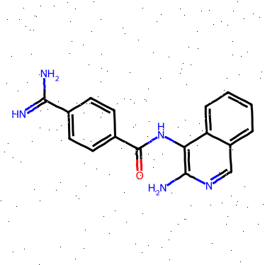 N=C(N)c1ccc(C(=O)Nc2c(N)ncc3ccccc23)cc1